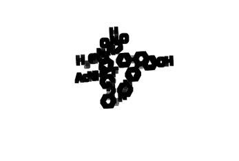 CC(=O)NC1(c2cc3c(cc2F)c(N2CCC(=O)NC2=O)nn3C)CCN(C[C@@H]2CCCC[C@H]2CN2CCN(c3ccc([C@@H]4c5ccc(O)cc5CC[C@@H]4c4ccccc4)cc3)CC2)CC1